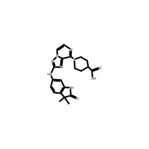 CC1(C)C(=O)Nc2cc(Nc3nc4c(N5CCC(C(=O)O)CC5)nccn4n3)ccc21